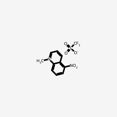 C[n+]1cccc2c([N+](=O)[O-])cccc21.O=S(=O)([O-])C(F)(F)F